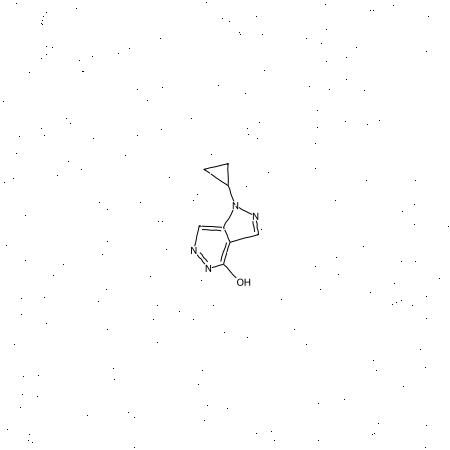 Oc1nncc2c1cnn2C1CC1